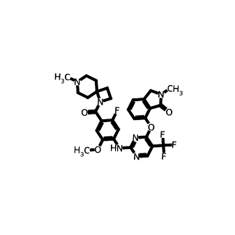 COc1cc(C(=O)N2CCC23CCN(C)CC3)c(F)cc1Nc1ncc(C(F)(F)F)c(Oc2cccc3c2C(=O)N(C)C3)n1